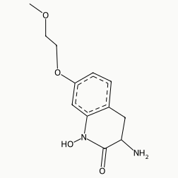 COCCOc1ccc2c(c1)N(O)C(=O)C(N)C2